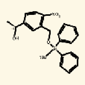 C[C@H](O)c1ccc([N+](=O)[O-])c(CO[Si](c2ccccc2)(c2ccccc2)C(C)(C)C)c1